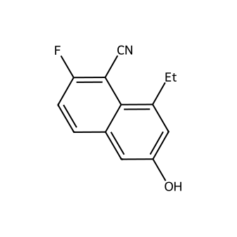 CCc1cc(O)cc2ccc(F)c(C#N)c12